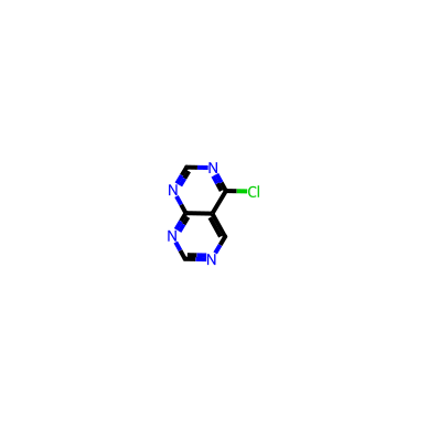 Clc1ncnc2ncncc12